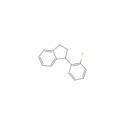 Fc1ccc[c]c1C1CCc2ccccc21